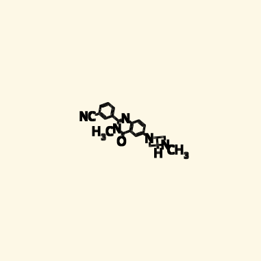 CN1CC2[C@H]1CN2c1ccc2nc(-c3cccc(C#N)c3)n(C)c(=O)c2c1